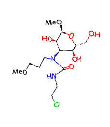 COCCCN(C(=O)NCCCl)[C@H]1[C@@H](O)[C@@H](OC)O[C@H](CO)[C@H]1O